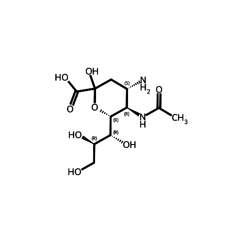 CC(=O)N[C@H]1[C@H]([C@H](O)[C@H](O)CO)OC(O)(C(=O)O)C[C@@H]1N